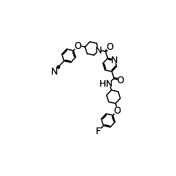 N#Cc1ccc(OC2CCN(C(=O)c3ccc(C(=O)NC4CCC(Oc5ccc(F)cc5)CC4)cn3)CC2)cc1